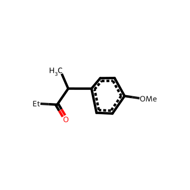 CCC(=O)C(C)c1ccc(OC)cc1